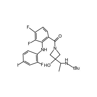 CC(NC(C)(C)C)C1(O)CN(C(=O)c2ccc(F)c(F)c2Nc2ccc(I)cc2F)C1